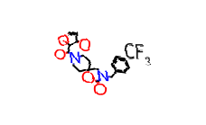 O=C1C=COC1C(=O)N1CCC2(CC1)CN(Cc1ccc(C(F)(F)F)cc1)C(=O)O2